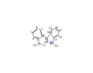 CC(C)c1ccccc1-c1cn(C)c2ccccc12